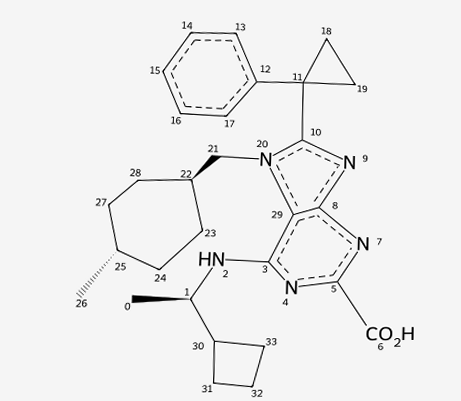 C[C@@H](Nc1nc(C(=O)O)nc2nc(C3(c4ccccc4)CC3)n(C[C@H]3CC[C@H](C)CC3)c12)C1CCC1